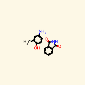 Cc1cc(N)ccc1O.O=C1NC(=O)c2ccccc21